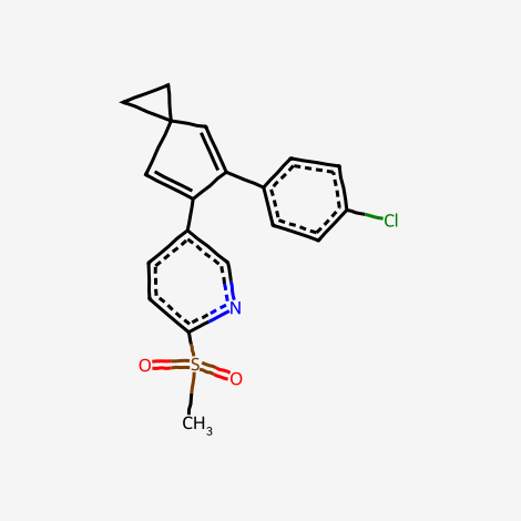 CS(=O)(=O)c1ccc(C2=CC3(C=C2c2ccc(Cl)cc2)CC3)cn1